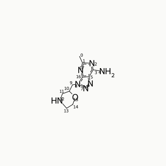 Cc1nc(N)c2nnn(CC3CNCCO3)c2n1